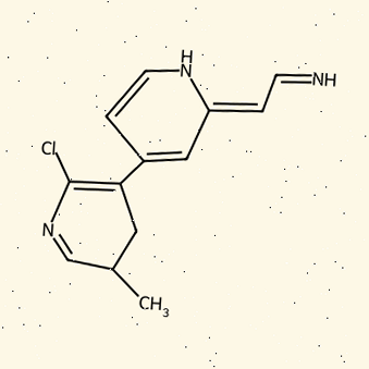 CC1C=NC(Cl)=C(C2=C/C(=C/C=N)NC=C2)C1